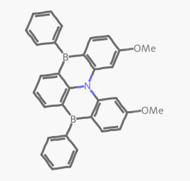 COc1ccc2c(c1)N1c3cc(OC)ccc3B(c3ccccc3)c3cccc(c31)B2c1ccccc1